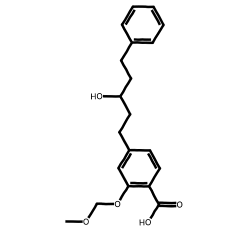 COCOc1cc(CCC(O)CCc2ccccc2)ccc1C(=O)O